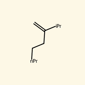 C=C(CCCCC)C(C)C